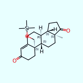 C[C@]12CC[C@H]3[C@@H](CCC4=CC(=O)CC[C@@]43CO[Si](C)(C)C)[C@@H]1CCC2=O